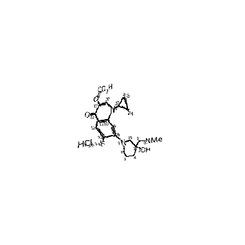 CNCC1(O)CCCN(c2cc3c(cc2F)c(=O)c(OC(=O)O)cn3C2CC2)C1.Cl